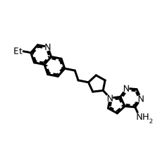 CCc1cnc2cc(CCC3CCC(n4ccc5c(N)ncnc54)C3)ccc2c1